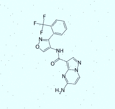 Nc1ccn2ncc(C(=O)Nc3conc3-c3ccccc3C(F)(F)F)c2n1